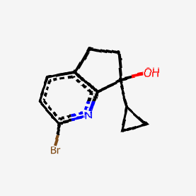 OC1(C2CC2)CCc2ccc(Br)nc21